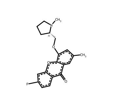 Cc1cc(OC[C@@H]2CCCN2C)c2oc3cc(F)ccc3c(=O)c2c1